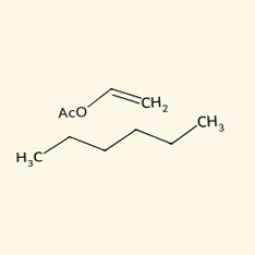 C=COC(C)=O.CCCCCC